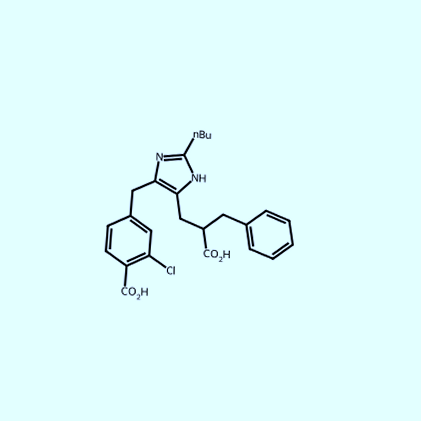 CCCCc1nc(Cc2ccc(C(=O)O)c(Cl)c2)c(CC(Cc2ccccc2)C(=O)O)[nH]1